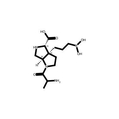 CC(N)C(=O)N1CC[C@]2(CCCB(O)O)[C@@H](C(=O)O)NC[C@H]12